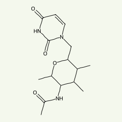 CC(=O)NC1C(C)OC(Cn2ccc(=O)[nH]c2=O)C(C)C1C